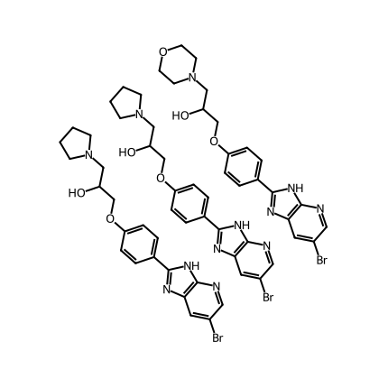 OC(COc1ccc(-c2nc3cc(Br)cnc3[nH]2)cc1)CN1CCCC1.OC(COc1ccc(-c2nc3cc(Br)cnc3[nH]2)cc1)CN1CCCC1.OC(COc1ccc(-c2nc3cc(Br)cnc3[nH]2)cc1)CN1CCOCC1